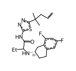 C=CCC(C)(C)c1nnc(NC(=O)C(CC)N[C@H]2CCc3cc(F)cc(F)c3C2)s1